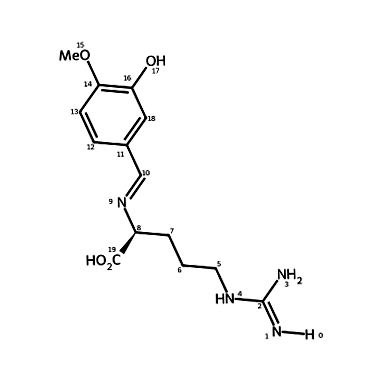 [H]/N=C(\N)NCCC[C@H](N=Cc1ccc(OC)c(O)c1)C(=O)O